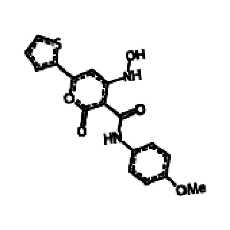 COc1ccc(NC(=O)c2c(NO)cc(-c3cccs3)oc2=O)cc1